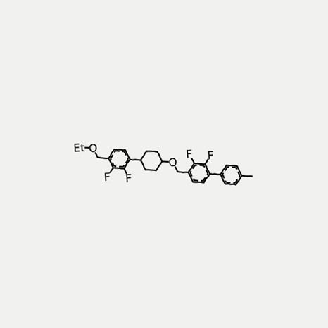 CCOCc1ccc(C2CCC(OCc3ccc(-c4ccc(C)cc4)c(F)c3F)CC2)c(F)c1F